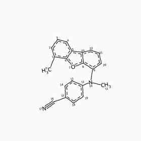 Cc1cccc2c1oc1c(N(C)c3ccc(C#N)cc3)cccc12